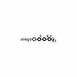 CCCCCCCC1CCC(c2ccc(-c3ccc(-c4ccc(OCC)c(F)c4F)cc3)c(F)c2)CC1